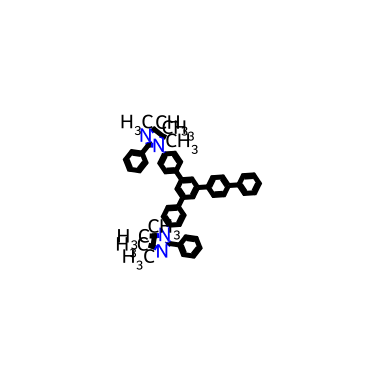 CC1(C)N=C(c2ccccc2)N(c2ccc(-c3cc(-c4ccc(-c5ccccc5)cc4)cc(-c4ccc(N5C(c6ccccc6)=NC(C)(C)C5(C)C)cc4)c3)cc2)C1(C)C